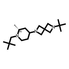 C[C@@H]1CC(N2CC3(C2)CN(C(C)(C)C)C3)CCN1CC(C)(C)C